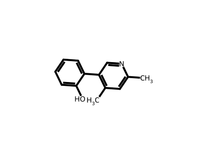 Cc1cc(C)c(-c2ccccc2O)cn1